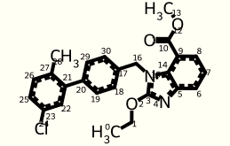 CCOc1nc2cccc(C(=O)OC)c2n1Cc1ccc(-c2cc(Cl)ccc2C)cc1